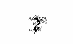 CC(C)(C)CC1O[C@@H](n2cc(O)c(=O)[nH]c2=O)C[C@H]1C(C)(C)C